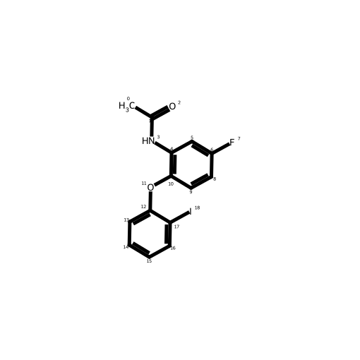 CC(=O)Nc1cc(F)ccc1Oc1ccccc1I